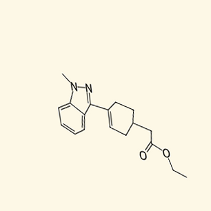 CCOC(=O)CC1CC=C(c2nn(C)c3ccccc23)CC1